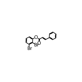 O=C(/C=C/c1ccccc1)Oc1cccc(Br)c1Br